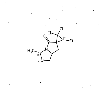 CC[C@@H]1C(Cl)(Cl)C12CC1CO[C@H](C)N1C2=O